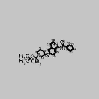 CC(C)(C)OC(=O)N1CCCC(Sc2ccc3c(NC(=O)c4ccccc4)nccc3c2)C1